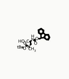 CN(C[C@H](NC(=O)OCC1c2ccccc2-c2ccccc21)C(=O)O)C(=O)OC(C)(C)C